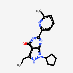 CCc1[nH]n(C2CCCC2)c2nc(-c3cccc(C)n3)nc(=O)c1-2